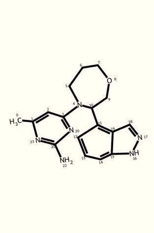 Cc1cc(N2CCCOCC2c2cccc3[nH]ncc23)nc(N)n1